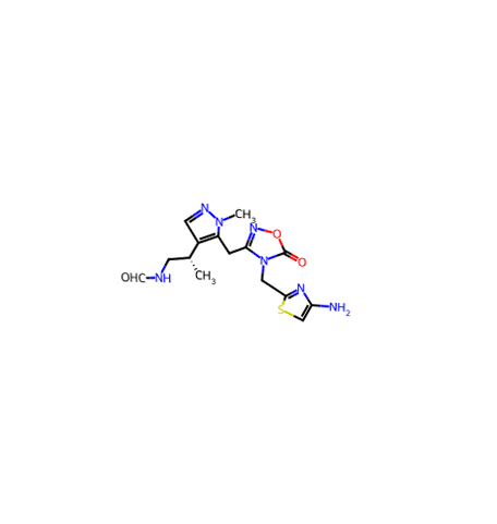 C[C@H](CNC=O)c1cnn(C)c1Cc1noc(=O)n1Cc1nc(N)cs1